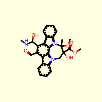 CNC(O)c1c(C=O)c2c3ccccc3n3c2c2c1c1ccccc1n2C(C)(OC)C(O)(C(=O)OC)C3